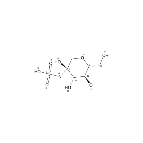 O=S(=O)(O)N[C@]1(O)[CH]O[C@H](CO)[C@@H](O)[C@@H]1O